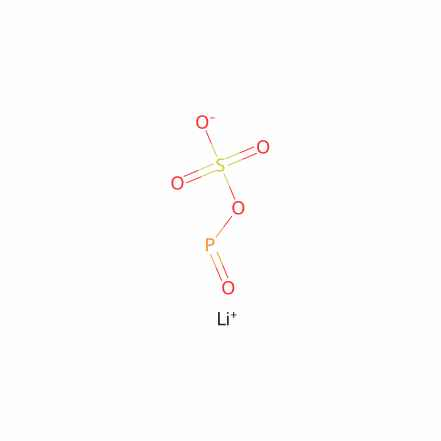 O=POS(=O)(=O)[O-].[Li+]